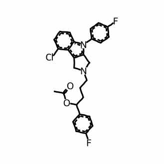 CC(=O)OC(CCCN1Cc2c(n(-c3ccc(F)cc3)c3cccc(Cl)c23)C1)c1ccc(F)cc1